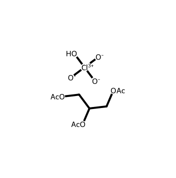 CC(=O)OCC(COC(C)=O)OC(C)=O.[O-][Cl+3]([O-])([O-])O